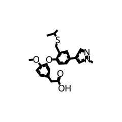 COc1ccc(CC(=O)O)cc1Oc1ccc(-c2cnn(C)c2)cc1CSC(C)C